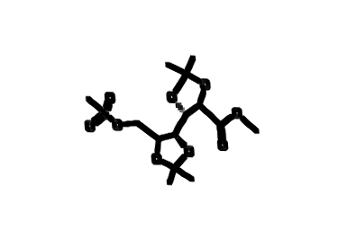 COC(=O)C1OC(C)(C)O[C@H]1[C@H]1OC(C)(C)OC1COS(C)(=O)=O